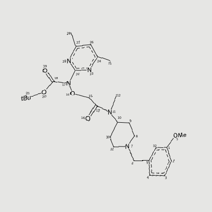 COc1cccc(CN2CCC(N(C)C(=O)CON(C(=O)OC(C)(C)C)c3nc(C)cc(C)n3)CC2)c1